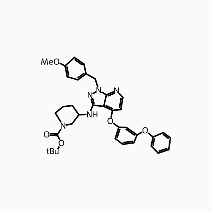 COc1ccc(Cn2nc(NC3CCCN(C(=O)OC(C)(C)C)C3)c3c(Oc4cccc(Oc5ccccc5)c4)ccnc32)cc1